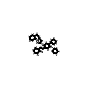 c1ccc(-n2c3ccccc3c3cc4c(cc32)c2sc3ccccc3c2n4-c2cc3ccc4ccccc4n3n2)cc1